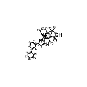 Cc1nc2cc(-c3cccc(-c4ccccc4)c3)nn2c(N2C3CCCC2CC3)c1[C@H](OC(C)(C)C)C(=O)O